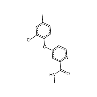 CNC(=O)c1cc(Oc2ccc(C)cc2Cl)ccn1